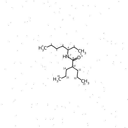 CCCCC(CC)NC(=O)C(CCC)CCC